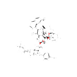 CC(C)[Si](C#Cc1c(F)ccc2cccc(-c3ncc4c(N5CC6CCC(C5)N6C(=O)OC(C)(C)C)nc(OCC5(C(=O)Nc6ccc(I)cc6)CCN(C(=O)OC(C)(C)C)C5)nc4c3F)c12)(C(C)C)C(C)C